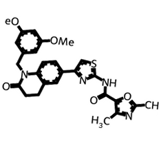 COc1cc(CN2C(=O)CCc3cc(-c4csc(NC(=O)c5oc(C)nc5C)n4)ccc32)cc(OC)c1